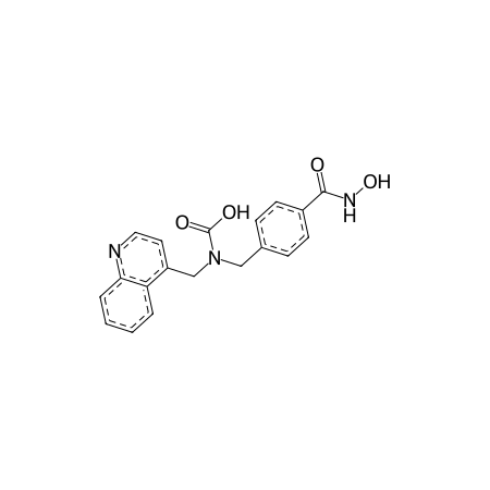 O=C(NO)c1ccc(CN(Cc2ccnc3ccccc23)C(=O)O)cc1